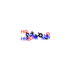 CNC(=O)[C@H]1CC(O)CN1C(=O)C(n1cc(-c2cc(N(C)c3ccnc(OC)n3)ccc2C)nn1)C(C)(C)C